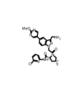 COc1ncc(-c2ccc3c(c2)c(CN)nn3CC(=O)N2C[C@H](F)C[C@H]2C(=O)Nc2cccc(Cl)n2)cn1